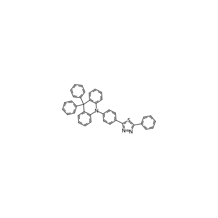 c1ccc(-c2nnc(-c3ccc(N4c5ccccc5C(c5ccccc5)(c5ccccc5)c5ccccc54)cc3)s2)cc1